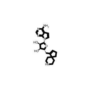 Nc1ncnc2c1ccn2[C@@H]1O[C@H](CC2=CCCC23CCNCC3)[C@@H](O)[C@H]1O